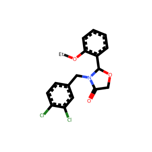 CCOc1ccccc1C1OCC(=O)N1Cc1ccc(Cl)c(Cl)c1